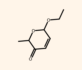 CCOC1C=CC(=O)C(C)O1